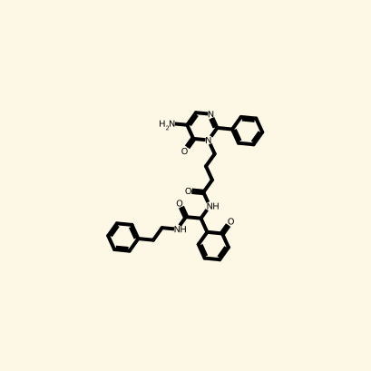 Nc1cnc(-c2ccccc2)n(CCCC(=O)NC(C(=O)NCCc2ccccc2)C2C=CC=CC2=O)c1=O